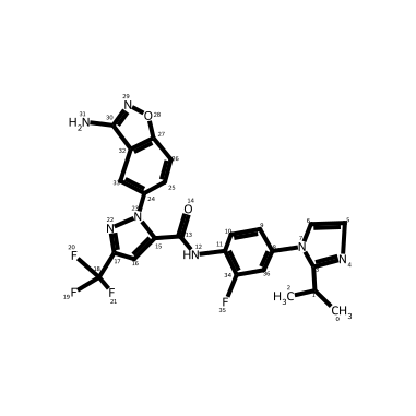 CC(C)c1nccn1-c1ccc(NC(=O)c2cc(C(F)(F)F)nn2-c2ccc3onc(N)c3c2)c(F)c1